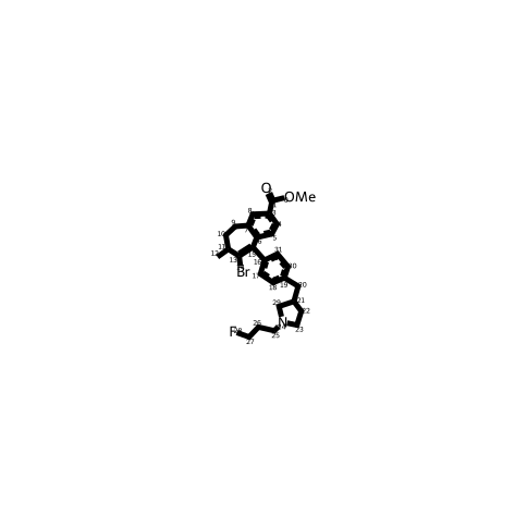 COC(=O)c1ccc2c(c1)CCC(C)C(Br)=C2c1ccc(CC2CCN(CCCF)C2)cc1